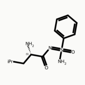 CC(C)C[C@H](N)C(=O)N=S(N)(=O)c1ccccc1